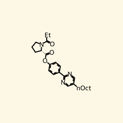 CCCCCCCCc1cnc(-c2ccc(OC(=O)[C@@H]3CCCN3C(=O)CC)cc2)nc1